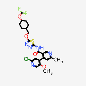 COc1cnc(Cl)cc1-c1cc(C)ncc1C(=O)Nc1nnc(OCC2CCC(OC(F)F)CC2)s1